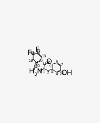 N[C@@H]1Cc2cc(O)ccc2O[C@H]1c1cc(F)c(F)cc1F